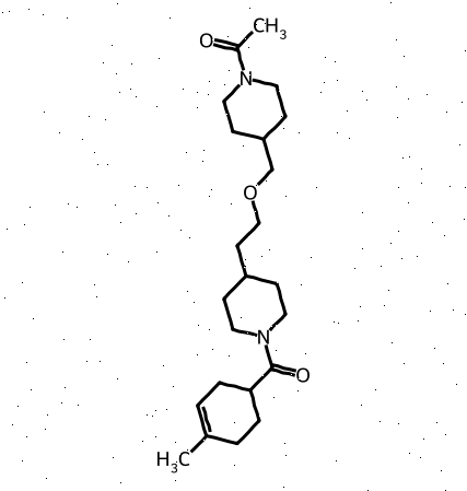 CC(=O)N1CCC(COCCC2CCN(C(=O)C3CC=C(C)CC3)CC2)CC1